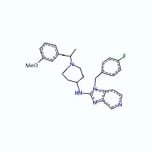 COc1cccc(C(C)N2CCC(Nc3nc4cnccc4n3Cc3ccc(F)cc3)CC2)c1